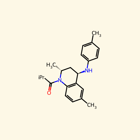 Cc1ccc(N[C@@H]2C[C@@H](C)N(C(=O)C(C)C)c3ccc(C)cc32)cc1